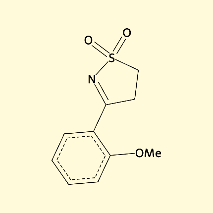 COc1ccccc1C1=NS(=O)(=O)CC1